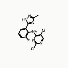 Cc1n[nH]c(-c2cccc(F)c2Nc2nc(Cl)ncc2Cl)n1